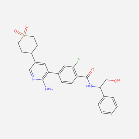 Nc1ncc(C2CCS(=O)(=O)CC2)cc1-c1ccc(C(=O)NC(CO)c2ccccc2)c(F)c1